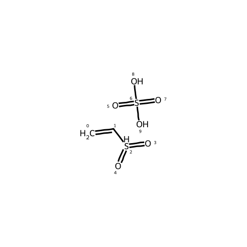 C=C[SH](=O)=O.O=S(=O)(O)O